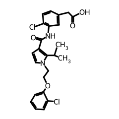 CC(C)c1c(C(=O)Nc2cc(CC(=O)O)ccc2Cl)ccn1CCOc1ccccc1Cl